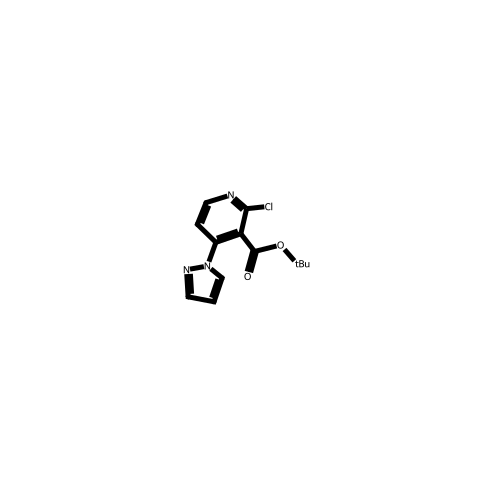 CC(C)(C)OC(=O)c1c(-n2cccn2)ccnc1Cl